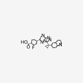 O=C(O)c1ccc(-c2cnc3nnc(C4(c5ccc6ncccc6c5)CC4)n3n2)cc1F